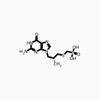 C[C@@H](CSCP(=O)(O)O)Cn1cnc2c(=O)[nH]c(N)nc21